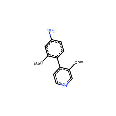 COc1cnccc1-c1ccc(N)cc1OC